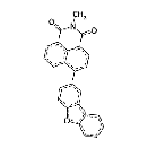 CN1C(=O)c2cccc3c(-c4ccc5oc6ccccc6c5c4)ccc(c23)C1=O